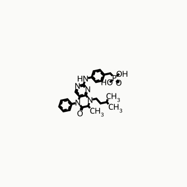 CC(C)CCN1c2nc(Nc3ccc(CP(=O)(O)O)cc3)ncc2N(c2ccccc2)C(=O)C1C